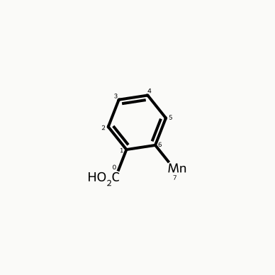 O=C(O)c1cccc[c]1[Mn]